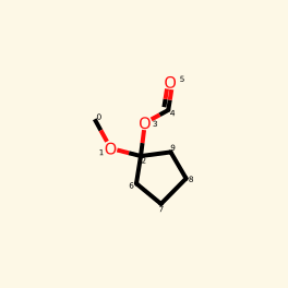 COC1(OC=O)CCCC1